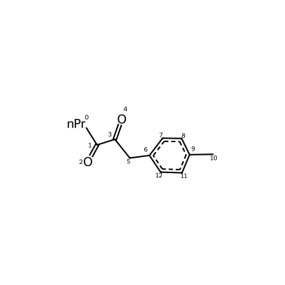 CCCC(=O)C(=O)Cc1ccc(C)cc1